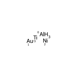 [AlH3].[Au].[Ni].[Ti]